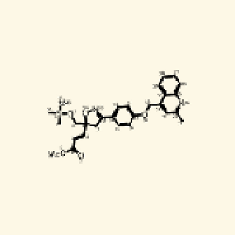 COC(=O)C=CC1(CO[Si](C)(C)C(C)(C)C)CC(c2ccc(OCc3cc(C)nc4ccccc34)cc2)=NO1